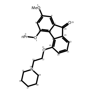 CCCOc1cc(OC)cc2c1-c1c(OCCN3CCCCC3)cccc1C2=O